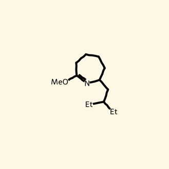 CCC(CC)CC1CCCCC(OC)=N1